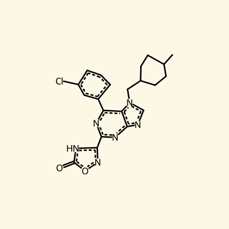 CC1CCC(Cn2cnc3nc(-c4noc(=O)[nH]4)nc(-c4cccc(Cl)c4)c32)CC1